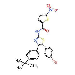 CC(C)(C)c1ccc(-c2nc(NC(=O)c3ccc([N+](=O)[O-])s3)sc2-c2ccc(Br)cc2)cc1